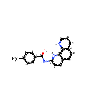 Cc1ccc(C(=O)Nc2ccc3ccc4cccnc4c3n2)cc1